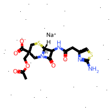 CC(=O)OCC1(C(=O)[O-])CS[C@@H]2C(NC(=O)Cc3csc(N)n3)C(=O)N2C1.[Na+]